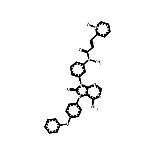 CN(C(=O)/C=C/c1cccc[n+]1[O-])c1cccc(-n2c(=O)n(-c3ccc(Oc4ccccc4)cc3)c3c(N)ncnc32)c1